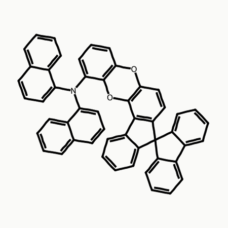 c1ccc2c(c1)-c1ccccc1C21c2ccccc2-c2c1ccc1c2Oc2c(cccc2N(c2cccc3ccccc23)c2cccc3ccccc23)O1